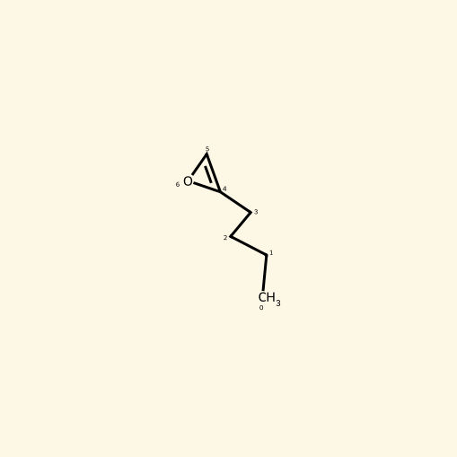 CCCCC1=CO1